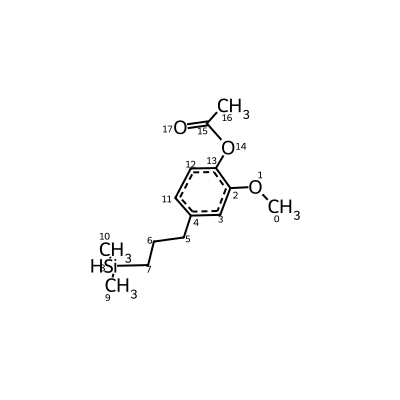 COc1cc(CCC[SiH](C)C)ccc1OC(C)=O